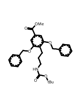 COC(=O)c1cc(OCc2ccccc2)c(CCCNC(=O)OC(C)(C)C)c(OCc2ccccc2)c1